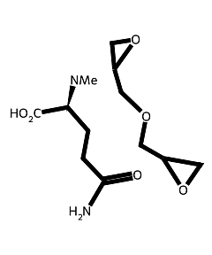 C(OCC1CO1)C1CO1.CN[C@@H](CCC(N)=O)C(=O)O